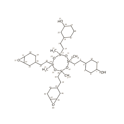 C[Si]1(CCC2CCC(O)CC2)O[Si](C)(CCC2CCCC(O)C2)O[Si](C)(CCC2CCC3OC3C2)O[Si](C)(CCC2CCC3OC3C2)O1